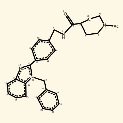 CC(=O)N1CCC(C(=O)NCc2ccc(-c3nc4ccccc4n3Cc3ccccc3)cc2)CC1